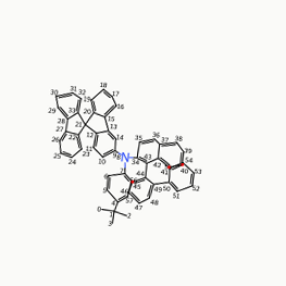 CC(C)(C)c1ccc(N(c2ccc3c(c2)-c2ccccc2C32c3ccccc3-c3ccccc32)c2ccc3ccccc3c2-c2ccccc2-c2ccccc2)cc1